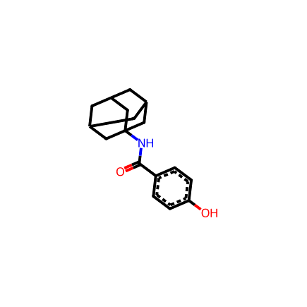 O=C(NC12CC3CC(CC(C3)C1)C2)c1ccc(O)cc1